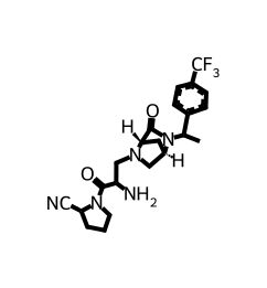 CC(c1ccc(C(F)(F)F)cc1)N1C(=O)[C@@H]2C[C@@H]1CN2CC(N)C(=O)N1CCCC1C#N